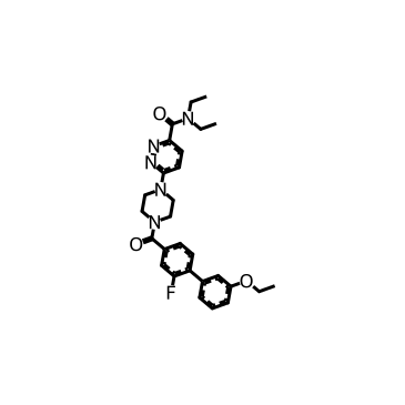 CCOc1cccc(-c2ccc(C(=O)N3CCN(c4ccc(C(=O)N(CC)CC)nn4)CC3)cc2F)c1